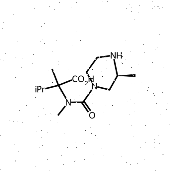 CC(C)C(C)(C(=O)O)N(C)C(=O)N1CCN[C@@H](C)C1